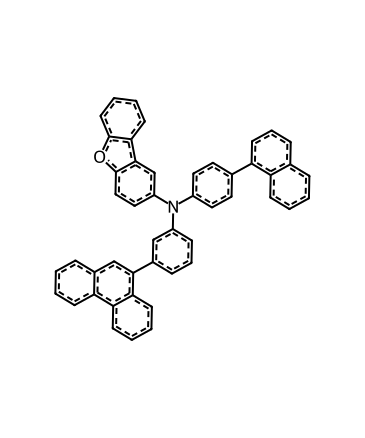 c1cc(-c2cc3ccccc3c3ccccc23)cc(N(c2ccc(-c3cccc4ccccc34)cc2)c2ccc3oc4ccccc4c3c2)c1